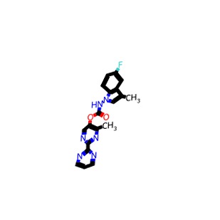 Cc1nc(-c2ncccn2)ncc1OC(=O)Nn1cc(C)c2cc(F)ccc21